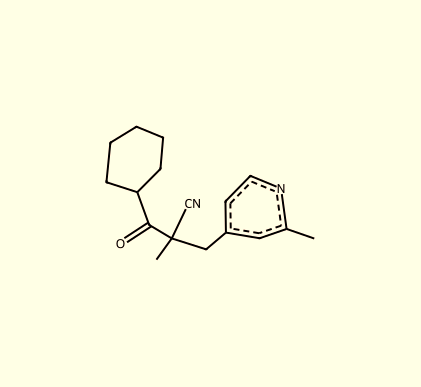 Cc1cc(CC(C)(C#N)C(=O)C2CCCCC2)ccn1